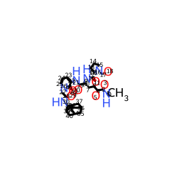 CNC(=O)C(=O)CC[C@H](NC(=O)[C@@H]1CCCN1C=O)C(=O)Nc1cccn(CC(=O)NC2C3CC4CC(C3)CC2C4)c1=O